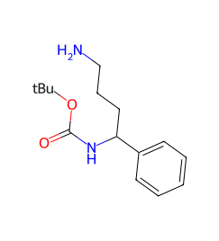 CC(C)(C)OC(=O)NC(CCCN)c1ccccc1